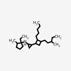 CCCCCC1C(CCC(C)CC)CC1C1CC1NC1(CC)CCCC1C